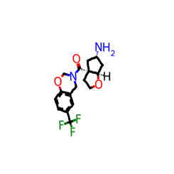 N[C@@H]1C[C@H]2OCC[C@@]2(C(=O)N2COc3ccc(C(F)(F)F)cc3C2)C1